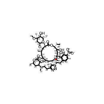 CC[C@H]1OC(=O)[C@H](C)[C@@H](O[C@H]2C[C@@](C)(OC)[C@@H](O)[C@H](C)O2)[C@H](C)[C@@H](O[C@@H]2O[C@H](C)C[C@H](N(C)CCc3cn([C@H](CO)Cc4ccc([N+](=O)[O-])cc4)nn3)[C@H]2O)[C@](C)(O)C[C@@H](C)CN(C)[C@H](C)[C@@H](O)[C@]1(C)O